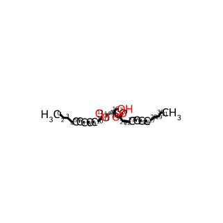 CCCCC=C=C=C=C=C=CC(=O)OC[C@H](CO)OC(=O)C=C=C=C=C=C=CCCCC